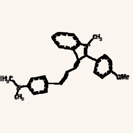 COc1ccc(C2=[N+](C)c3ccccc3C2=CC=Cc2ccc(N(C)C)cc2)cc1